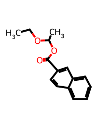 CCOC(C)OC(=O)c1ccc2ccccc2c1